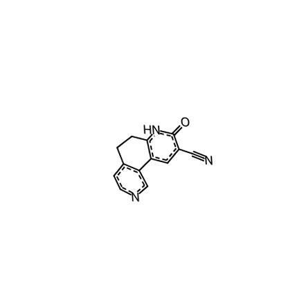 N#Cc1cc2c([nH]c1=O)CCc1ccncc1-2